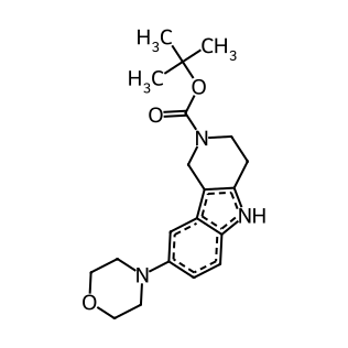 CC(C)(C)OC(=O)N1CCc2[nH]c3ccc(N4CCOCC4)cc3c2C1